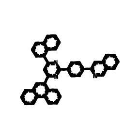 c1ccc2cc(-c3ccc(-c4nc(-c5cccc6ccccc56)cc(-c5cc6ccccc6c6ccccc56)n4)cc3)ncc2c1